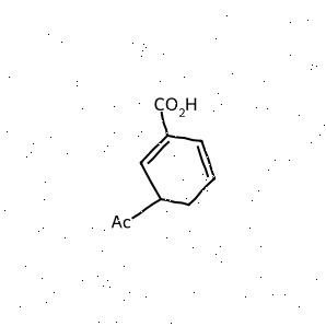 CC(=O)C1C=C(C(=O)O)C=CC1